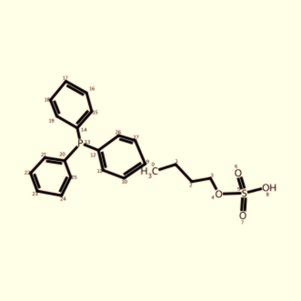 CCCCOS(=O)(=O)O.c1ccc(P(c2ccccc2)c2ccccc2)cc1